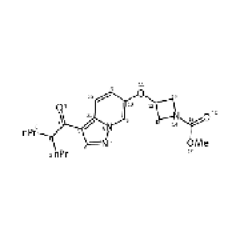 CCCC(CCC)C(=O)c1cnn2cc(OC3CN(C(=O)OC)C3)ccc12